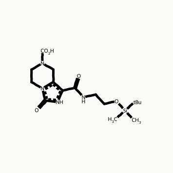 CC(C)(C)[Si](C)(C)OCCNC(=O)c1[nH]c(=O)n2c1CN(C(=O)O)CC2